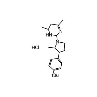 CC1=NC(N2CCC(c3ccc(C(C)(C)C)cc3)C2C)NC(C)C1.Cl